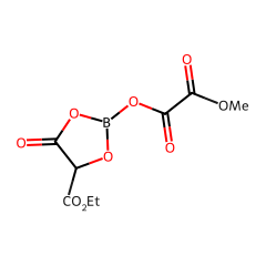 CCOC(=O)C1OB(OC(=O)C(=O)OC)OC1=O